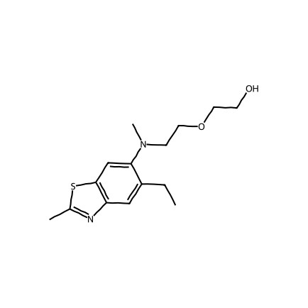 CCc1cc2nc(C)sc2cc1N(C)CCOCCO